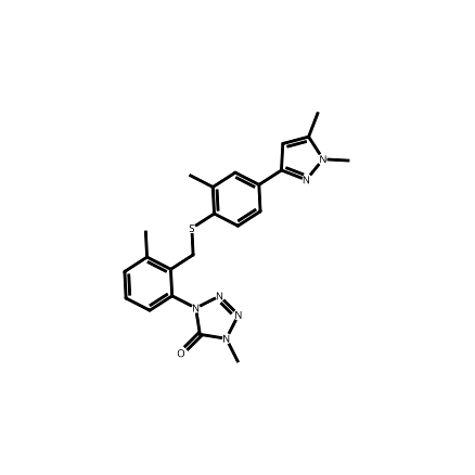 Cc1cc(-c2cc(C)n(C)n2)ccc1SCc1c(C)cccc1-n1nnn(C)c1=O